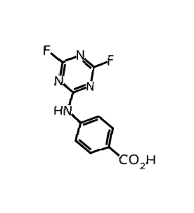 O=C(O)c1ccc(Nc2nc(F)nc(F)n2)cc1